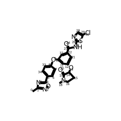 Cc1noc(-c2ccc(Oc3cc(OC4CCN(C)C4=O)cc(C(=O)Nc4ncc(Cl)s4)c3)cc2)n1